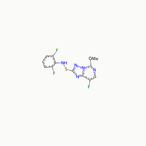 COc1ncc(F)c2nc(SNc3c(F)cccc3F)nn12